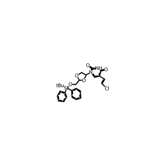 CC(C)(C)[Si](OCC1OCC(n2cc(C=CCl)c(=O)[nH]c2=O)O1)(c1ccccc1)c1ccccc1